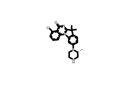 C[C@@H]1CNCCN1c1ccc2c(c1)-n1c(nc(=O)c3c(Cl)cccc31)C2(C)C